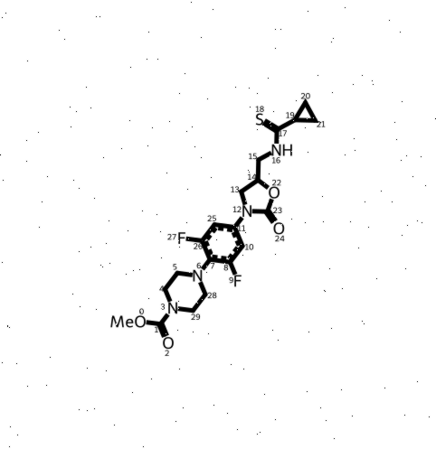 COC(=O)N1CCN(c2c(F)cc(N3CC(CNC(=S)C4CC4)OC3=O)cc2F)CC1